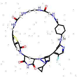 O=C1CNCCNC(=O)CN[C@H]2CC[C@@H](CC2)Nc2cc(c(F)cn2)-c2cnn(c2CC2CC2)C2CC(C(=O)NC2=O)N2Cc3cc(sc3C2=O)CN1